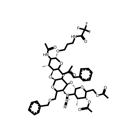 CC(=O)NC1[C@H](OCCCNC(=O)C(F)(F)F)OC(COCc2ccccc2)[C@@H](O[C@@H]2OC(COCc3ccccc3)[C@H](C)[C@H](O[C@@H]3OC(COC(C)=O)[C@H](OC(C)=O)[C@H](C)C3N=[N+]=[N-])C2OC(C)=O)[C@@H]1C